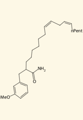 CCCCC/C=C\C/C=C\CCCCCCC(Cc1cccc(OC)c1)C(N)=O